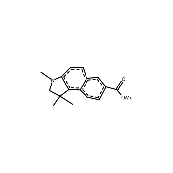 COC(=O)c1ccc2c3c(ccc2c1)N(C)CC3(C)C